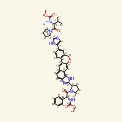 COC(=O)N[C@H](C(=O)N1[C@@H](C)CC[C@H]1c1ncc(-c2ccc3c(c2)COc2cc4c(ccc5nc(C6CC[C@H](I)N6C(=O)[C@H](NC(=O)OC)c6ccccc6)[nH]c54)cc2-3)[nH]1)C(C)C